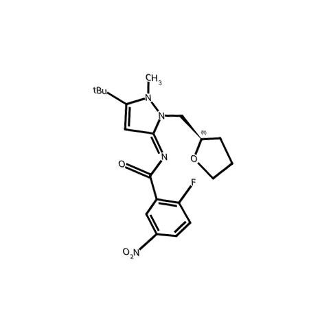 Cn1c(C(C)(C)C)cc(=NC(=O)c2cc([N+](=O)[O-])ccc2F)n1C[C@H]1CCCO1